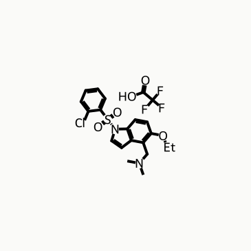 CCOc1ccc2c(ccn2S(=O)(=O)c2ccccc2Cl)c1CN(C)C.O=C(O)C(F)(F)F